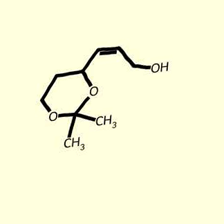 CC1(C)OCCC(/C=C\CO)O1